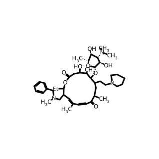 CCC1OC(=O)CC(O)C(C)C(O[C@@H]2O[C@H](C)[C@@H](O)[C@H](N(C)C)[C@H]2O)C(CCN2CCCCC2)CC(C)C(=O)/C=C\C(C)=C\C1CN(C)Cc1ccccc1